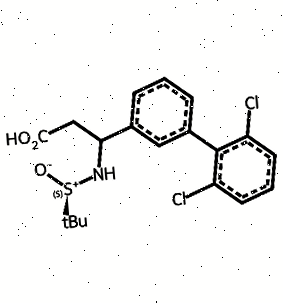 CC(C)(C)[S@@+]([O-])NC(CC(=O)O)c1cccc(-c2c(Cl)cccc2Cl)c1